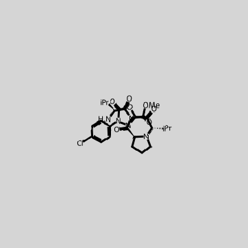 COC(=O)N(C(=O)[C@@H](N)C(C)C)C(=O)[C@@H]1CCCN1[C@H](C(=O)c1nn(-c2ccc(Cl)cc2)c(=O)o1)C(C)C